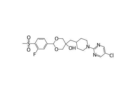 CS(=O)(=O)c1ccc(C2OCC(O)(CC3CCN(c4ncc(Cl)cn4)CC3)CO2)cc1F